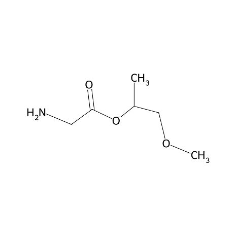 COCC(C)OC(=O)CN